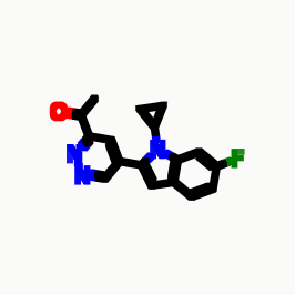 CC(=O)c1cc(-c2cc3ccc(F)cc3n2C2CC2)cnn1